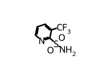 NS(=O)(=O)c1ncccc1C(F)(F)F